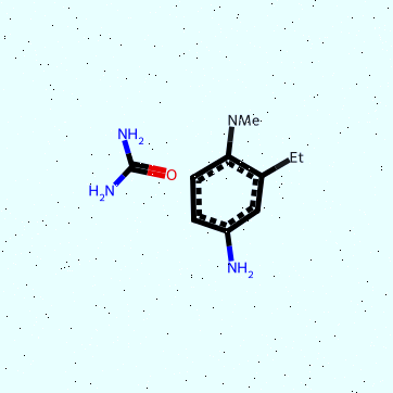 CCc1cc(N)ccc1NC.NC(N)=O